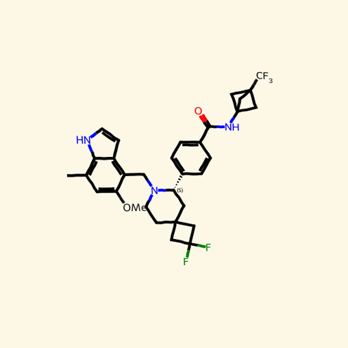 COc1cc(C)c2[nH]ccc2c1CN1CCC2(C[C@H]1c1ccc(C(=O)NC34CC(C(F)(F)F)(C3)C4)cc1)CC(F)(F)C2